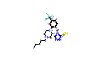 CCCCCN1CCN(c2cccc(C(F)(F)F)c2)CC1.Cn1cnnc1S